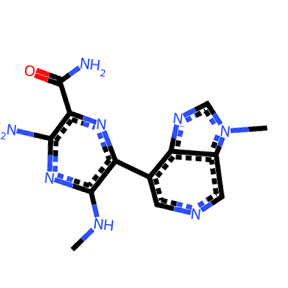 CNc1nc(N)c(C(N)=O)nc1-c1cncc2c1ncn2C